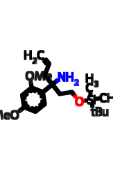 C=CCC(N)(CCO[Si](C)(C)C(C)(C)C)c1ccc(OC)cc1OC